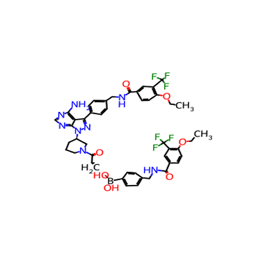 C=CC(=O)N1CCC[C@@H](n2nc(-c3ccc(CNC(=O)c4ccc(OCC)c(C(F)(F)F)c4)cc3)c3c(N)ncnc32)C1.CCOc1ccc(C(=O)NCc2ccc(B(O)O)cc2)cc1C(F)(F)F